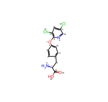 N[C@@H](Cc1ccc(Oc2ncc(Cl)cc2Cl)cc1)C(=O)O